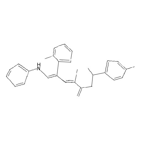 C=C(CC(C)c1ccc(C)cc1)/C(C)=C/C(=C/Nc1ccccc1)c1ccccc1C